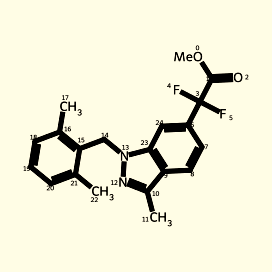 COC(=O)C(F)(F)c1ccc2c(C)nn(Cc3c(C)cccc3C)c2c1